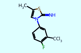 Cc1cn(-c2ccc(F)c(C(Cl)(Cl)Cl)c2)c(=N)s1